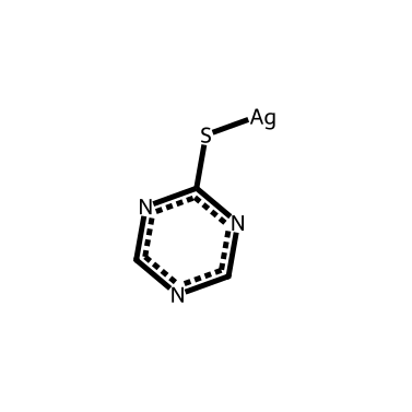 [Ag][S]c1ncncn1